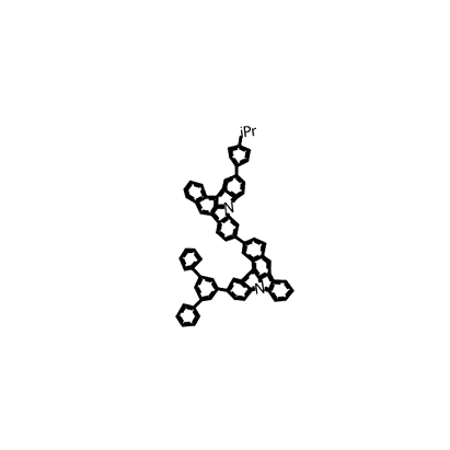 CC(C)c1ccc(-c2ccc3c(c2)c2c4ccccc4cc4c5ccc(-c6ccc7cc8c9ccccc9n9c%10ccc(-c%11cc(-c%12ccccc%12)cc(-c%12ccccc%12)c%11)cc%10c(c7c6)c89)cc5n3c42)cc1